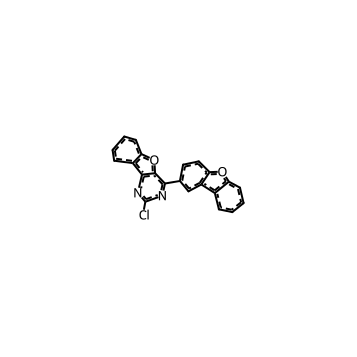 Clc1nc(-c2ccc3oc4ccccc4c3c2)c2oc3ccccc3c2n1